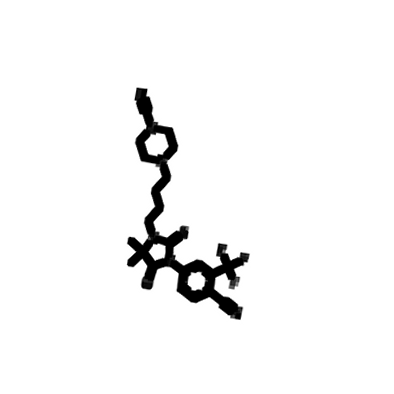 CC1(C)C(=O)N(c2ccc(C#N)c(C(F)(F)F)c2)C(=S)N1CCCCN1CCN(C#N)CC1